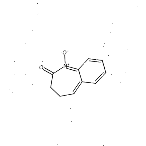 O=C1CCC=c2ccccc2=[N+]1[O-]